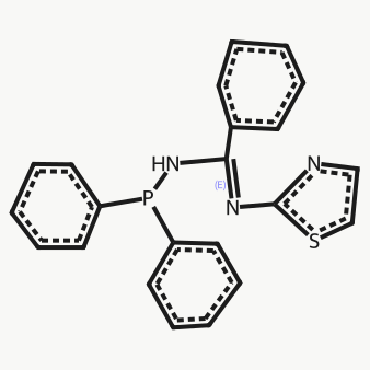 c1ccc(/C(=N\c2nccs2)NP(c2ccccc2)c2ccccc2)cc1